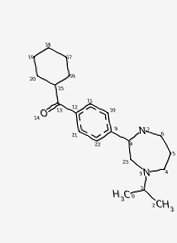 CC(C)N1CCC[N]C(c2ccc(C(=O)C3CCCCC3)cc2)C1